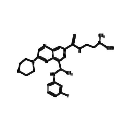 CC(Nc1cccc(F)c1)c1cc(C(=O)NCCN(C)C=O)cc2ncc(N3CCOCC3)nc12